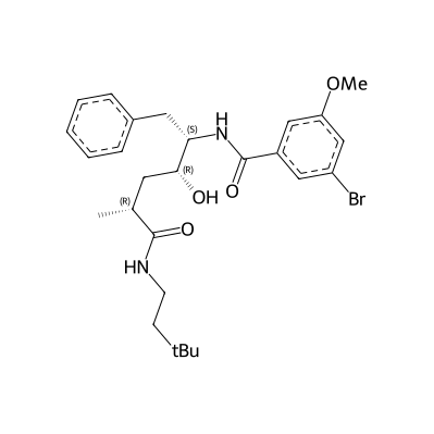 COc1cc(Br)cc(C(=O)N[C@@H](Cc2ccccc2)[C@H](O)C[C@@H](C)C(=O)NCCC(C)(C)C)c1